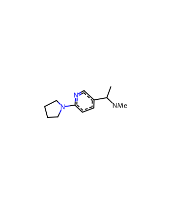 CNC(C)c1ccc(N2CCCC2)nc1